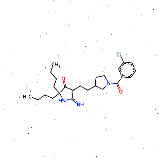 CCCCC1(CCCC)NC(=N)C(CCC2CCN(C(=O)c3cccc(Cl)c3)C2)C1=O